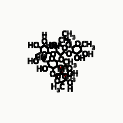 CCCO[C@@H]1OC(C)[C@H](O)[C@H](O)C1O[C@@H]1OC(C)[C@H](O)[C@H](O[C@H]2O[C@@H](CO)[C@@H](O)C(O)C2O)C1O[C@@H]1OC(CO)[C@@H](O)C(O[C@@H]2OC(C)[C@H](O)[C@H](O)C2OC(C)=O)[C@@H]1NC(C)=O